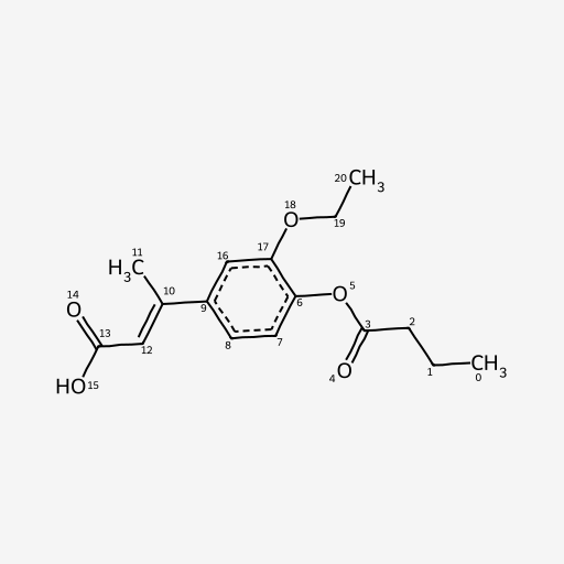 CCCC(=O)Oc1ccc(C(C)=CC(=O)O)cc1OCC